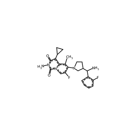 Cc1c(N2CCC(C(N)c3ccccc3F)C2)c(F)cn2c(=O)n(N)c(=O)c(C3CC3)c12